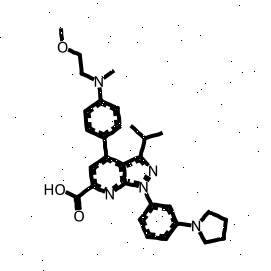 COCCN(C)c1ccc(-c2cc(C(=O)O)nc3c2c(C(C)C)nn3-c2cccc(N3CCCC3)c2)cc1